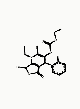 CCOC(=O)OC1=C(C)N(CC)C2=C(C(=O)OC2O)C1c1ccccc1Cl